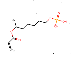 [2H]C(CCCCCOP(=O)(O)O)OC(=O)C=C